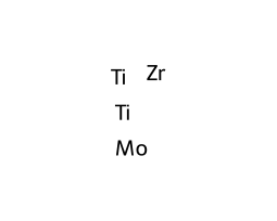 [Mo].[Ti].[Ti].[Zr]